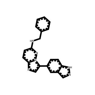 c1ccc(CNc2ccc3ncc(-c4ccc5[nH]ncc5c4)n3n2)cc1